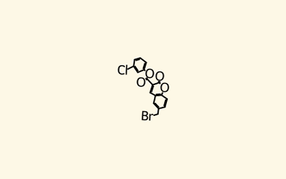 O=C(Oc1cccc(Cl)c1)c1cc2cc(CBr)ccc2oc1=O